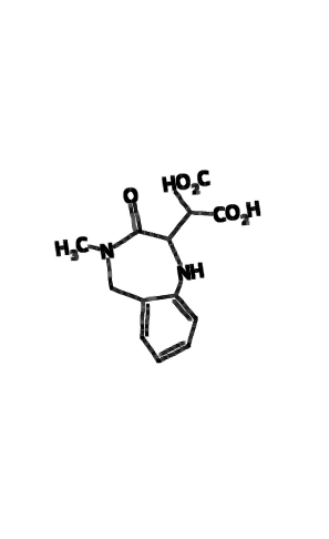 CN1Cc2ccccc2NC(C(C(=O)O)C(=O)O)C1=O